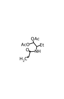 C=CC(=O)NC(CC)C(OC(C)=O)OC(C)=O